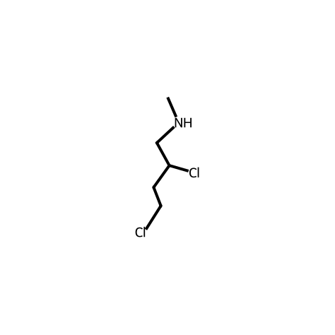 CNCC(Cl)CCCl